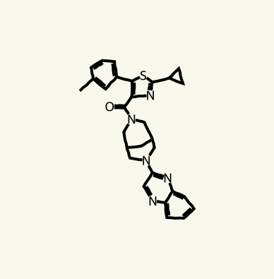 Cc1cccc(-c2sc(C3CC3)nc2C(=O)N2CC3CC(C2)CN(c2cnc4ccccc4n2)C3)c1